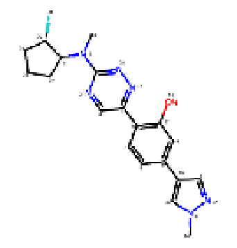 CN(c1ncc(-c2ccc(-c3cnn(C)c3)cc2O)nn1)[C@H]1CCC[C@H]1F